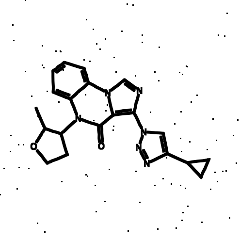 CC1OCCC1n1c(=O)c2c(-n3cc(C4CC4)nn3)ncn2c2ccccc21